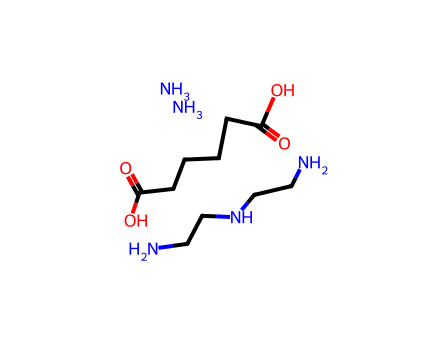 N.N.NCCNCCN.O=C(O)CCCCC(=O)O